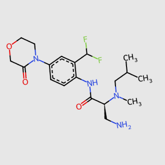 CC(C)CN(C)[C@@H](CN)C(=O)Nc1ccc(N2CCOCC2=O)cc1C(F)F